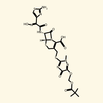 Cn1nc(OCOC(=O)C(C)(C)C)c(=O)nc1SCC1=C(C(=O)O)N2C(=O)[C@@H](NC(=O)C(=NO)c3csc(N)n3)[C@H]2SC1